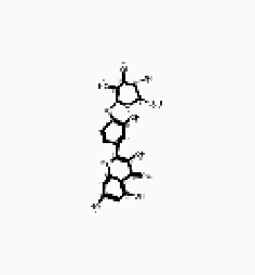 O=C(O)[C@H]1O[C@@H](Oc2ccc(-c3oc4cc(O)cc(O)c4c(=O)c3O)cc2O)C(O)C(O)[C@@H]1O